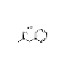 CC(N)Cc1ccccn1.Cl